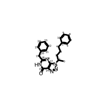 CC(CCCc1ccccc1)n1nnc2c(=O)[nH]c(Cc3ccccc3)nc21